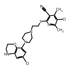 Cc1nc(SCCN2CCN(c3cc(Cl)cc4c3OCCN4)CC2)c(C#N)c(C)c1Cl